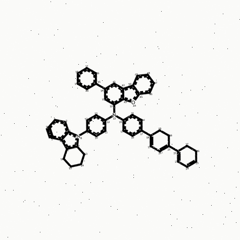 c1ccc2c(c#1)c1c(n2-c2ccc(N(c3ccc(C4=CC=C(C5=CC=CCC5)CC4)cc3)c3cc(-c4ccccc4)cc4c3oc3ccccc34)cc2)CCCC1